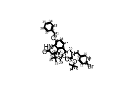 CC(C)(C)OC(=O)N(Cc1ccc(Br)nc1)C[C@H](O[Si](C)(C)C(C)(C)C)c1ccc(OCc2ccccc2)c2[nH]c(=O)ccc12